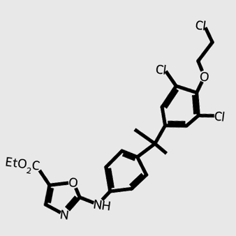 CCOC(=O)c1cnc(Nc2ccc(C(C)(C)c3cc(Cl)c(OCCCl)c(Cl)c3)cc2)o1